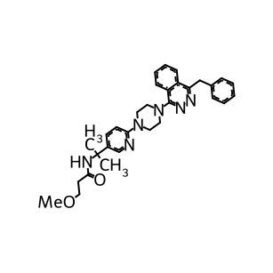 COCCC(=O)NC(C)(C)c1ccc(N2CCN(c3nnc(Cc4ccccc4)c4ccccc34)CC2)nc1